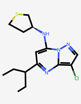 CCC(CC)c1cc(N[C@H]2CCSC2)n2ncc(Cl)c2n1